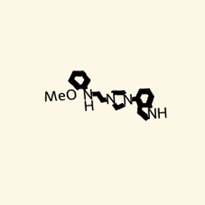 COc1ccccc1NCCN1CCN(c2cccc3[nH]ccc23)CC1